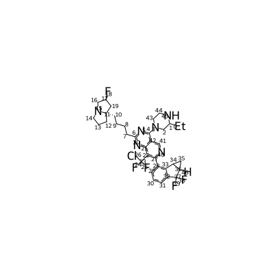 CCC1CN(c2nc(CCCC[C@]34CCCN3C[C@@H](F)C4)nc3c(C(F)(F)Cl)c(-c4cccc5c4C4C[C@@H]4C5(F)F)ncc23)CCN1